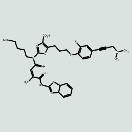 CNCCCCN(C(=N)/C=C(/C)C(=N)NC1=NC2C=CC=CC2S1)c1nc(C(=O)O)c(CCCOc2ccc(C#CCN(C)C)cc2F)s1